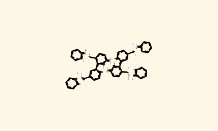 c1ccc2oc(-c3ccc4c(c3)c3c(-c5nc6ccccc6o5)ccc5c3n4c3ccc(-c4nc6ccccc6o4)c4c6cc(-c7nc8ccccc8o7)ccc6n5c43)nc2c1